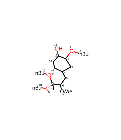 CCCCOC1CC(CC(OC)[SiH](OCCCC)OCCCC)CCC1O